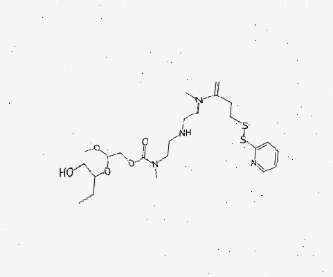 C=C(CCSSc1ccccn1)N(C)CCNCCN(C)C(=O)OCC(OC)OC(CC)CO